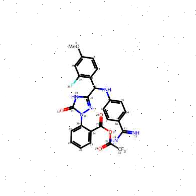 COc1ccc(C(Nc2ccc(C(=N)N)cc2)c2nn(-c3ccccc3C(=O)OC(=O)C(F)(F)F)c(=O)[nH]2)c(F)c1